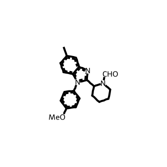 COc1ccc(-n2c(C3CCCCN3C=O)nc3cc(C)ccc32)cc1